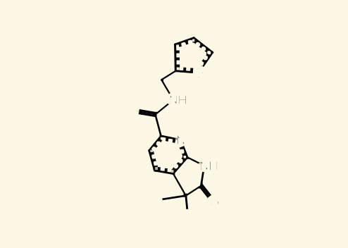 CC1(C)C(=O)Nc2nc(C(=O)NCc3ccco3)ccc21